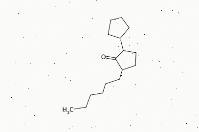 CCCCCCC1CCC(C2CCCC2)C1=O